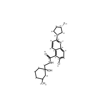 CC1CCCC(O)(CNC(=O)c2c(Cl)ccc3nc(N4CC[C@H](F)C4)ccc23)C1